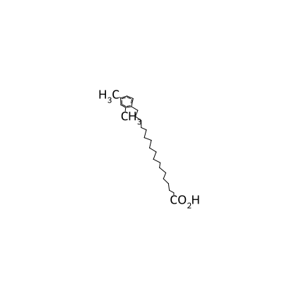 Cc1ccc(CCCCCCCCCCCCCCCCCC(=O)O)c(C)c1